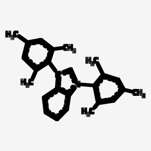 Cc1cc(C)c(-n2c[n+](-c3c(C)cc(C)cc3C)c3ccccc32)c(C)c1